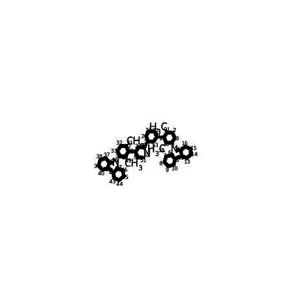 Cc1ccc(-n2c3ccccc3c3ccccc32)c(C)c1-c1cccc(-c2cc(-c3c(C)ccc(-n4c5ccccc5c5ccccc54)c3C)ccn2)c1